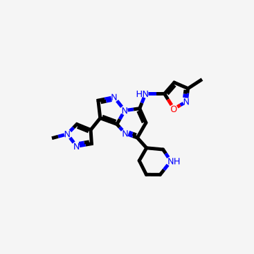 Cc1cc(Nc2cc(C3CCCNC3)nc3c(-c4cnn(C)c4)cnn23)on1